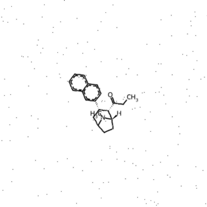 CCC(=O)[C@H]1[C@@H](c2ccc3ccccc3c2)CC2CC[C@@H]1N2C